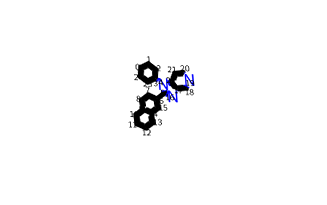 c1ccc(-n2c(-c3ccc4ccccc4c3)nc3cnccc32)cc1